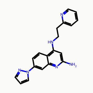 Nc1cc(NCCc2ccccn2)c2ccc(-n3cccn3)cc2n1